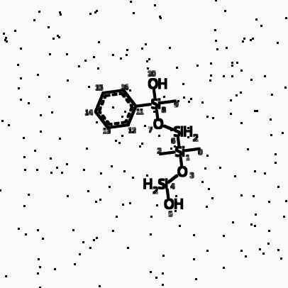 C[Si](C)(O[SiH2]O)[SiH2]O[Si](C)(O)c1ccccc1